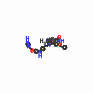 CC(C)(C)[Si](C)(C)O[C@@H](CNCCc1ccc(Nc2ccc(OCCN3CCNCC3)cc2)cc1)c1ccc(OCc2ccccc2)c2[nH]c(=O)ccc12